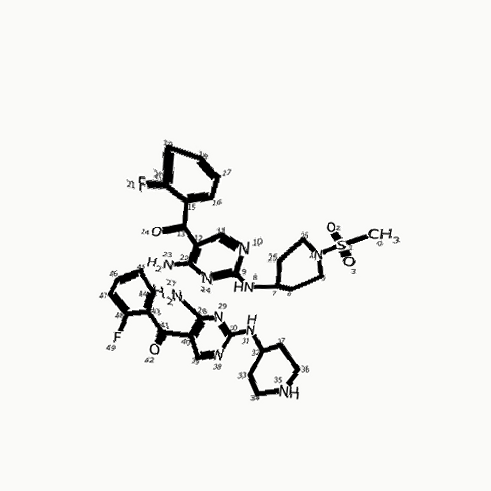 CS(=O)(=O)N1CCC(Nc2ncc(C(=O)c3ccccc3F)c(N)n2)CC1.Nc1nc(NC2CCNCC2)ncc1C(=O)c1ccccc1F